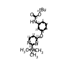 CC(C)(C)OC(=O)Nc1cccc(Oc2ccnc([N+](C)(C)C)n2)c1